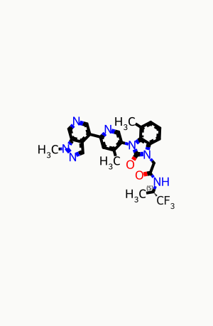 Cc1cc(-c2cncc3c2cnn3C)ncc1-n1c(=O)n(CC(=O)N[C@@H](C)C(F)(F)F)c2cccc(C)c21